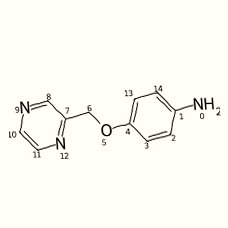 Nc1ccc(OCc2cnccn2)cc1